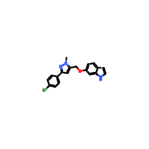 Cn1nc(-c2ccc(Cl)cc2)cc1COc1ccc2cc[nH]c2c1